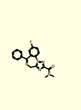 CN(C)C(=O)c1nc2n(n1)-c1ccc(F)cc1C(c1ccccc1)=NC2